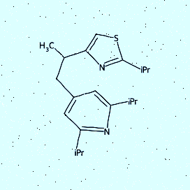 CC(C)c1cc(CC(C)c2csc(C(C)C)n2)cc(C(C)C)n1